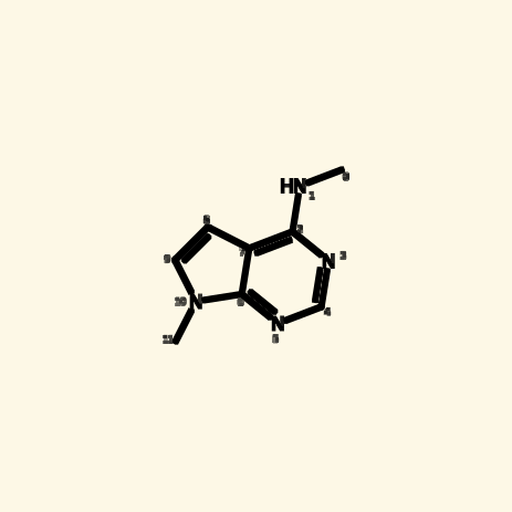 CNc1ncnc2c1ccn2C